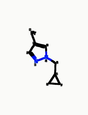 CC(C)c1cnn(CC2CC2)c1